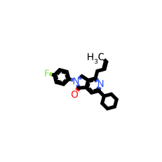 C/C=C\Cc1nc(C2CCCCC2)cc2c1CN(c1ccc(F)cc1)C2=O